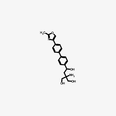 Cc1nc(-c2ccc(-c3ccc(C(O)CC(N)(CO)CO)cc3)cc2)co1